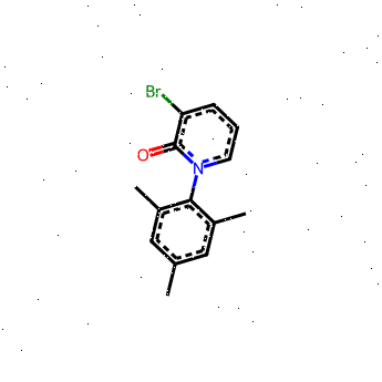 Cc1cc(C)c(-n2cccc(Br)c2=O)c(C)c1